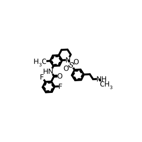 CNCCc1cccc(S(=O)(=O)N2CCCc3cc(C)c(NC(=O)c4c(F)cccc4F)cc32)c1